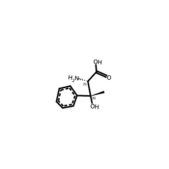 C[C@@](O)(c1ccccc1)[C@H](N)C(=O)O